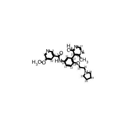 COc1cncc(C(=O)Nc2ccc(OCCN3CCCC3)c(-c3c(C)ncnc3C)c2)c1